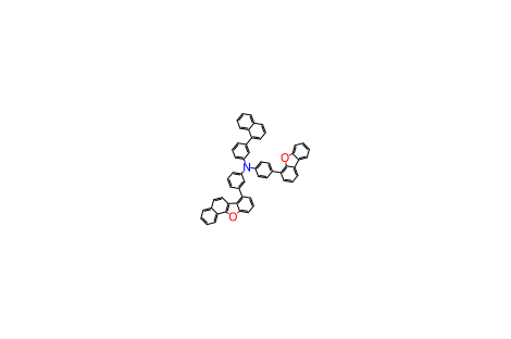 c1cc(-c2cccc3ccccc23)cc(N(c2ccc(-c3cccc4c3oc3ccccc34)cc2)c2cccc(-c3cccc4oc5c6ccccc6ccc5c34)c2)c1